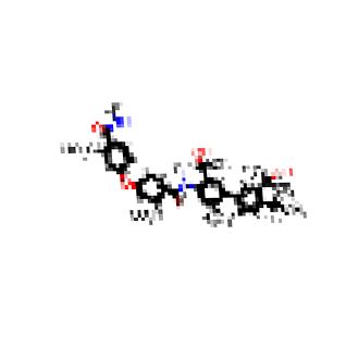 CCC(C)(C)c1cc(C)c(-c2cc(C(O)(C(F)(F)F)C(F)(F)F)c(NC(=O)c3ccc(Oc4ccc(C(=O)NC(C)C)c(C(=O)O)c4)cc3C(=O)O)cc2C)cc1C(O)(C(F)(F)F)C(F)(F)F